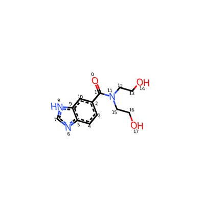 O=C(c1ccc2nc[nH]c2c1)N(CCO)CCO